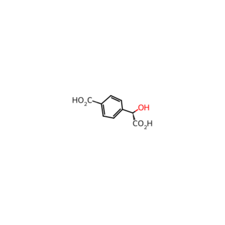 O=C(O)c1ccc([C@@H](O)C(=O)O)cc1